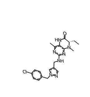 CC[C@H]1C(=O)Nc2c(C)nc(NCc3cnn(Cc4ccc(Cl)cc4)c3)nc2N1C